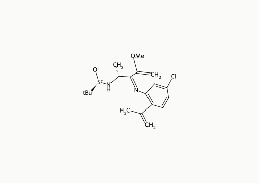 C=C(OC)/C(=N\c1cc(Cl)ccc1C(=C)C)[C@@H](C)N[S@+]([O-])C(C)(C)C